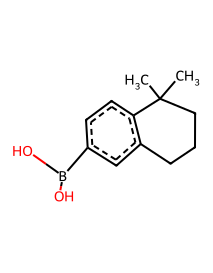 CC1(C)CCCc2cc(B(O)O)ccc21